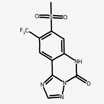 CS(=O)(=O)c1cc2[nH]c(=O)n3ncnc3c2cc1C(F)(F)F